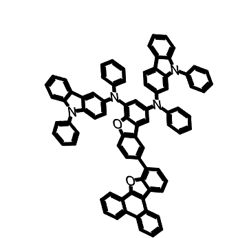 c1ccc(N(c2cc(N(c3ccccc3)c3ccc4c(c3)c3ccccc3n4-c3ccccc3)c3oc4ccc(-c5cccc6c5oc5c7ccccc7c7ccccc7c65)cc4c3c2)c2ccc3c4ccccc4n(-c4ccccc4)c3c2)cc1